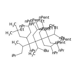 CCCCCC(CCC)C[C](CC(C)(C)CC)C(CCC)(C(C)CC(C)C)C(CC(CCC)CCCCC)(C(C)C(C)CC)C(CC(CC)CC)(CC(CCC)CCCCC)C(CC(CCC)CCCCC)(C(C)CC(CCC)CCCCC)C(CC)CCC